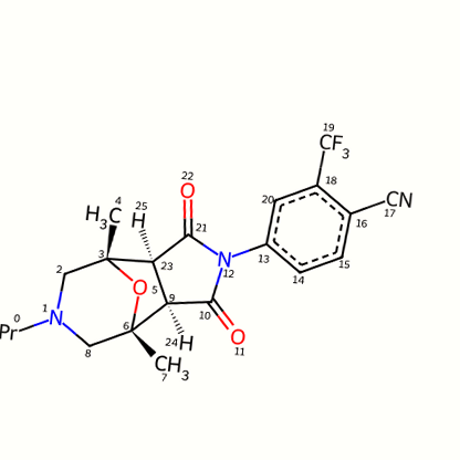 CCCN1C[C@@]2(C)O[C@@](C)(C1)[C@@H]1C(=O)N(c3ccc(C#N)c(C(F)(F)F)c3)C(=O)[C@@H]12